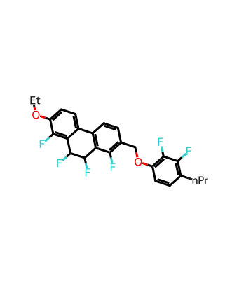 CCCc1ccc(OCc2ccc3c(c2F)C(F)C(F)c2c-3ccc(OCC)c2F)c(F)c1F